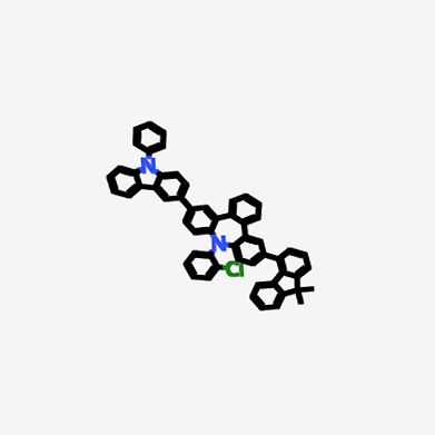 CC1(C)c2ccccc2-c2c(-c3ccc4c(c3)-c3ccccc3-c3cc(-c5ccc6c(c5)c5ccccc5n6-c5ccccc5)ccc3N4c3ccccc3Cl)cccc21